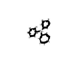 C1=CC=CC(N(c2ccccc2)c2ccccc2)=CC=1